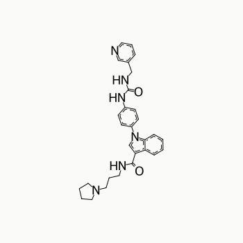 O=C(NCc1cccnc1)Nc1ccc(-n2cc(C(=O)NCCCN3CCCC3)c3ccccc32)cc1